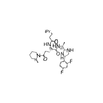 CC(C)CCC(=O)N[C@@H](CCC(=O)N1CCCC[C@@H]1C)C(=O)N[C@@H](C)C1NCC(c2ccc(F)cc2F)N1